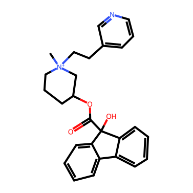 C[N+]1(CCc2cccnc2)CCCC(OC(=O)C2(O)c3ccccc3-c3ccccc32)C1